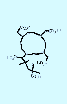 CC(C)(CC(C)(C)C(C(=O)O)N1CCN(CC(=O)O)CCN(CC(=O)O)CCN(CC(=O)O)CC1)C(=O)O